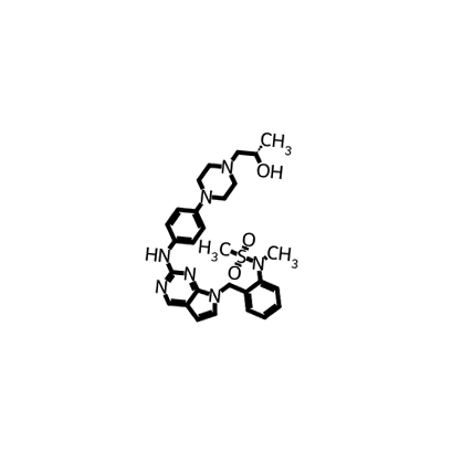 C[C@H](O)CN1CCN(c2ccc(Nc3ncc4ccn(Cc5ccccc5N(C)S(C)(=O)=O)c4n3)cc2)CC1